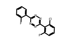 Fc1ccccc1-c1nnc(-c2c(F)cccc2Cl)nn1